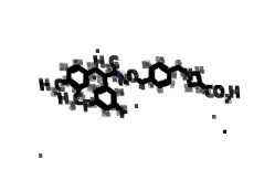 C/C(=N\OCc1ccc(CN2CC(C(=O)O)C2)cc1)C(Cc1ccc(C)c(C)c1)c1cc(F)cc(F)c1